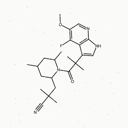 COc1cnc2[nH]cc(C(C)(C)C(=O)N3C(C)CC(C)CC3CC(C)(C)C#N)c2c1F